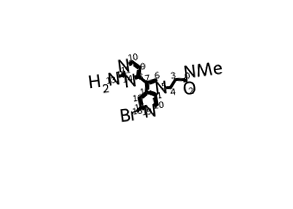 CNC(=O)CCn1cc(-c2ccnc(N)n2)c2cc(Br)ncc21